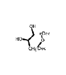 CC(O)CO.CCCCCCCCCCOCCCCCCCCCC